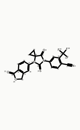 N#Cc1ccc(N2C(=O)C3(CC3)N(c3ccc4c(c3)COC4=O)C2=S)cc1C(F)(F)F